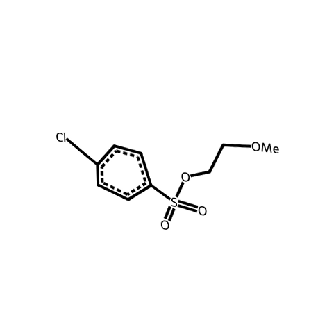 COCCOS(=O)(=O)c1ccc(Cl)cc1